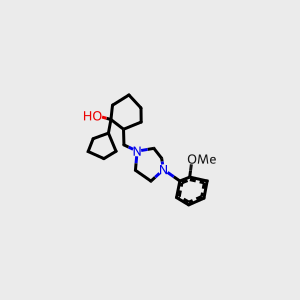 COc1ccccc1N1CCN(CC2CCCCC2(O)C2CCCC2)CC1